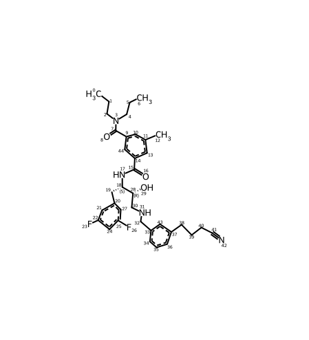 CCCN(CCC)C(=O)c1cc(C)cc(C(=O)N[C@@H](Cc2cc(F)cc(F)c2)[C@H](O)CNCc2cccc(CCCC#N)c2)c1